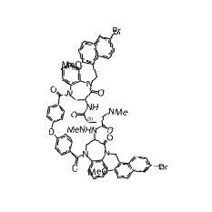 CNCC(=O)NC1CN(C(=O)c2ccc(Oc3ccc(C(=O)N4CC(NC(=O)[C@H](C)NC)C(=O)N(Cc5c(OC)ccc6cc(Br)ccc56)c5ccccc54)cc3)cc2)c2ccccc2N(Cc2c(OC)ccc3cc(Br)ccc23)C1=O